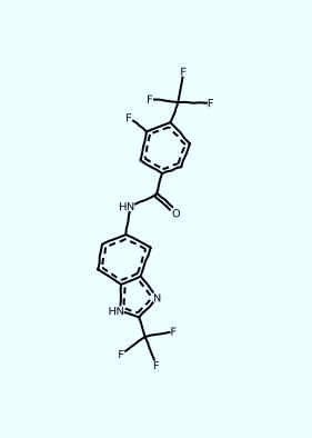 O=C(Nc1ccc2[nH]c(C(F)(F)F)nc2c1)c1ccc(C(F)(F)F)c(F)c1